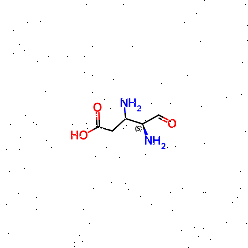 NC(CC(=O)O)[C@H](N)C=O